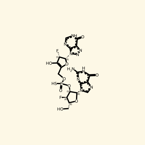 Nc1nc2c(ncn2[C@@H]2O[C@H](CO)[C@@H](F)[C@H]2OP(=O)(S)OCC2=C(O)[C@H](F)[C@H](n3nnc4c(=O)[nH]cnc43)O2)c(=O)[nH]1